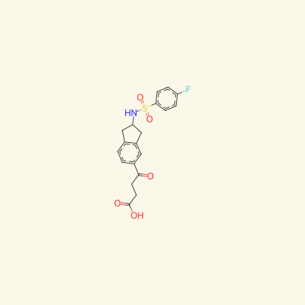 O=C(O)CCC(=O)c1ccc2c(c1)CC(NS(=O)(=O)c1ccc(F)cc1)C2